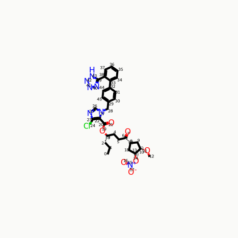 CCC[C@@H](CCC(=O)[C@@H]1C[C@H](OC)[C@@H](O[N+](=O)[O-])C1)OC(=O)c1c(Cl)ncn1Cc1ccc(-c2ccccc2-c2nnn[nH]2)cc1